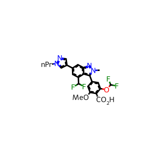 CCCn1cc(-c2cc(C(F)F)c3c(-c4cc(OC)c(C(=O)O)c(OC(F)F)c4)n(C)nc3c2)cn1